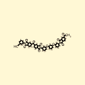 C#Cc1cccc(N2C(=O)c3ccc(C(=O)c4ccc5c(c4)C(=O)N(c4cccc(Oc6cccc(Oc7cccc(N8C(=O)c9ccc(C(C)=O)cc9C8=O)c7)c6)c4)C5=O)cc3C2=O)c1